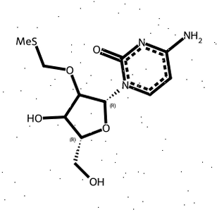 CSCOC1C(O)[C@@H](CO)O[C@H]1n1ccc(N)nc1=O